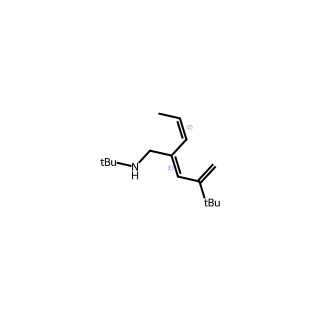 C=C(/C=C(\C=C/C)CNC(C)(C)C)C(C)(C)C